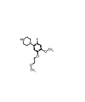 COCCOc1cc(N2CCNCC2)c(F)cc1OC